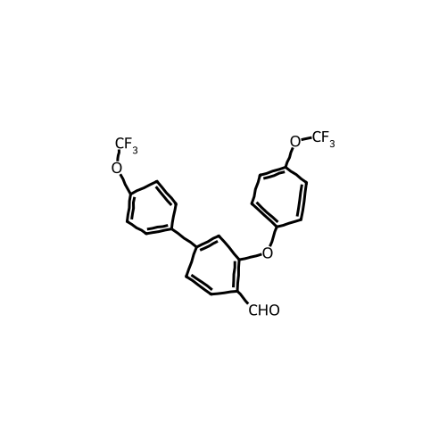 O=Cc1ccc(-c2ccc(OC(F)(F)F)cc2)cc1Oc1ccc(OC(F)(F)F)cc1